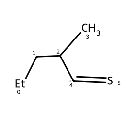 [CH2]CCC(C)[C]=S